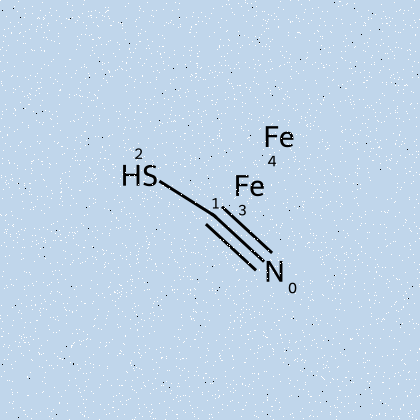 N#CS.[Fe].[Fe]